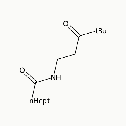 CCCCCCCC(=O)NCCC(=O)C(C)(C)C